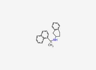 C[C@@H](NC1CCc2ccccc2C1)c1cccc2ccccc12